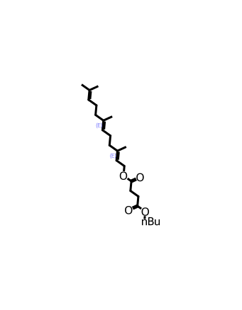 CCCCOC(=O)CCC(=O)OC/C=C(\C)CC/C=C(\C)CCC=C(C)C